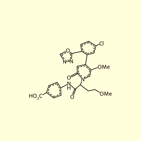 COCCC(C(=O)Nc1ccc(C(=O)O)cc1)n1cc(OC)c(-c2cc(Cl)ccc2-c2nnco2)cc1=O